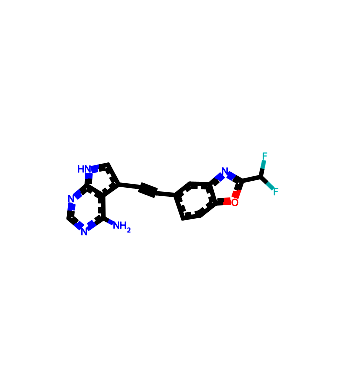 Nc1ncnc2[nH]cc(C#Cc3ccc4oc(C(F)F)nc4c3)c12